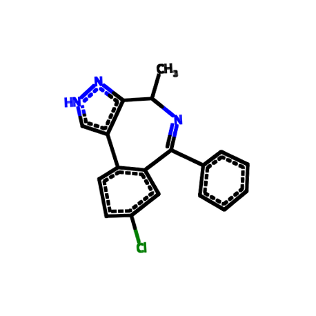 CC1N=C(c2ccccc2)c2cc(Cl)ccc2-c2c[nH]nc21